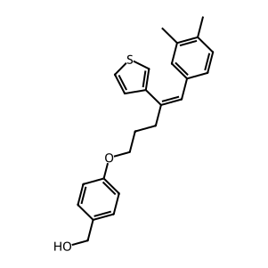 Cc1ccc(/C=C(/CCCOc2ccc(CO)cc2)c2ccsc2)cc1C